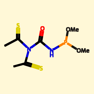 COP(NC(=O)N(C(C)=S)C(C)=S)OC